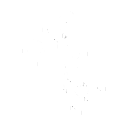 CNc1nc(N)nc2c1ncn2[C@@H]1OC(CO[P@](=O)(N[C@@H](C)C(=O)OC(C)C)Oc2ccccc2)[C@@H](O)C1(F)F